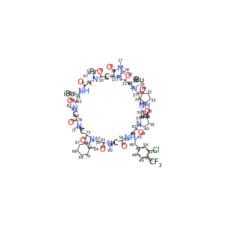 CC[C@H](C)[C@@H]1NC(=O)[C@H](CC(C)C)N(C)C(=O)C[C@@H](C(=O)N(C)C)N(C)C(=O)[C@H]([C@@H](C)CC)N(C)C(=O)C2(CCCC2)NC(=O)[C@@H]2CCCN2C(=O)[C@H](CCc2ccc(C(F)(F)F)c(Cl)c2)NC(=O)CN(C)C(=O)[C@H](CC2CCCCC2)N(C)C(=O)CN(C)C(=O)CN(C)C1=O